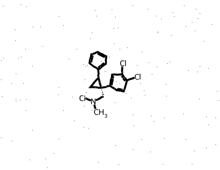 CN(Cl)C[C@]1(c2ccc(Cl)c(Cl)c2)CC1c1ccccc1